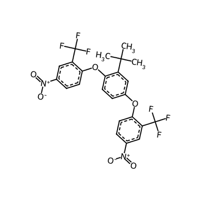 CC(C)(C)c1cc(Oc2ccc([N+](=O)[O-])cc2C(F)(F)F)ccc1Oc1ccc([N+](=O)[O-])cc1C(F)(F)F